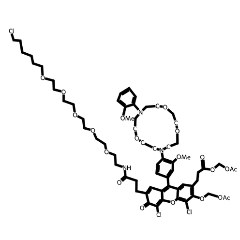 COc1ccccc1N1CCOCCOCCN(c2ccc(-c3c4cc(CCC(=O)NCCOCCOCCOCCOCCOCCCCCCCl)c(=O)c(Cl)c-4oc4c(Cl)c(OCOC(C)=O)c(CCC(=O)OCOC(C)=O)cc34)cc2OC)CCOCC1